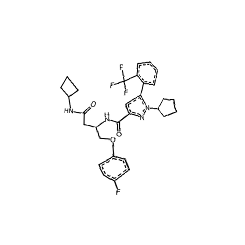 O=C(CC(COc1ccc(F)cc1)NC(=O)c1cc(-c2ccccc2C(F)(F)F)n(C2CCCC2)n1)NC1CCC1